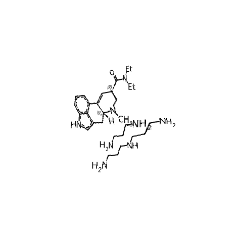 CCN(CC)C(=O)[C@@H]1C=C2c3cccc4[nH]cc(c34)C[C@H]2N(C)C1.NCCCN.NCCCNCCCN